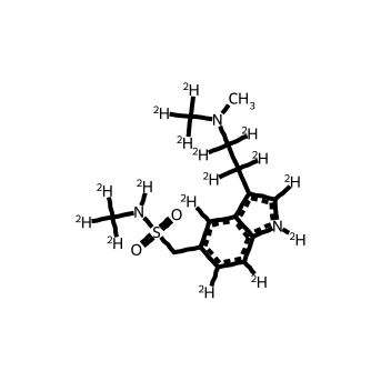 [2H]c1c(CS(=O)(=O)N([2H])C([2H])([2H])[2H])c([2H])c2c(C([2H])([2H])C([2H])([2H])N(C)C([2H])([2H])[2H])c([2H])n([2H])c2c1[2H]